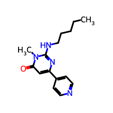 CCCCCNc1nc(-c2ccncc2)cc(=O)n1C